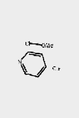 COCl.[Cu].c1ccncc1